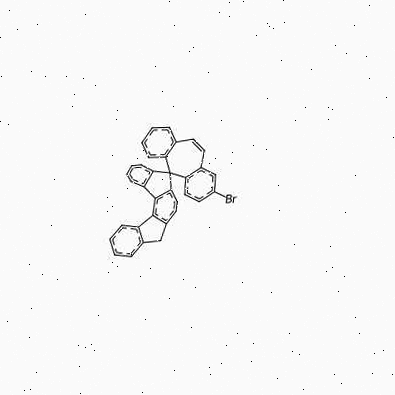 Brc1ccc2c(c1)C=Cc1ccccc1C21c2ccccc2-c2c1ccc1c2-c2ccccc2C1